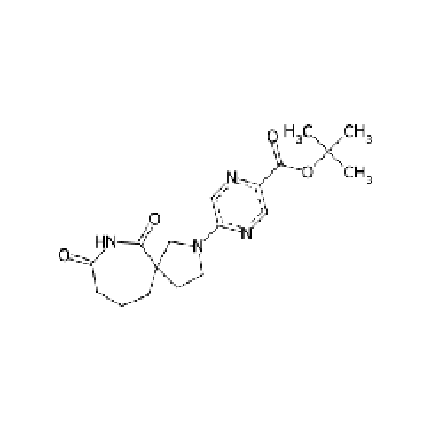 CC(C)(C)OC(=O)c1cnc(N2CCC3(CCCC(=O)NC3=O)C2)cn1